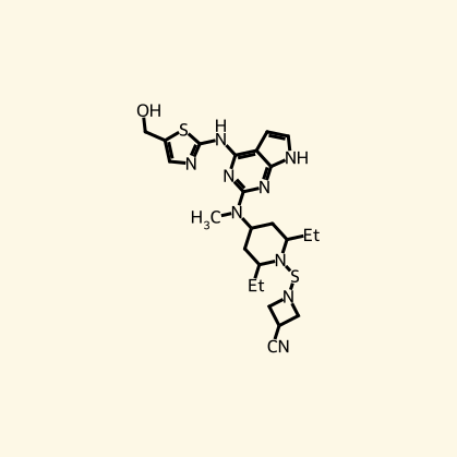 CCC1CC(N(C)c2nc(Nc3ncc(CO)s3)c3cc[nH]c3n2)CC(CC)N1SN1CC(C#N)C1